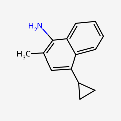 Cc1cc(C2CC2)c2ccccc2c1N